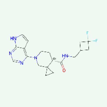 O=C(NCC1CC(F)(F)C1)[C@H]1CCN(c2ncnc3[nH]ccc23)CC12CC2